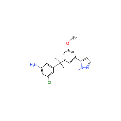 CC(C)Oc1cc(-c2ccnn2C)cc(C(C)(C)c2cc(N)cc(Cl)c2)c1